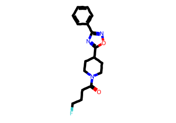 O=C(CCCF)N1CCC(c2nc(-c3ccccc3)no2)CC1